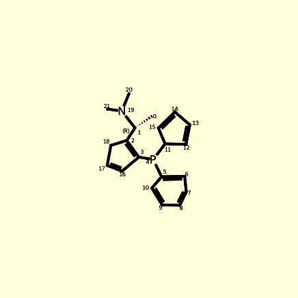 C[C@H](C1=C(P(c2ccccc2)C2C=CC=C2)C=CC1)N(C)C